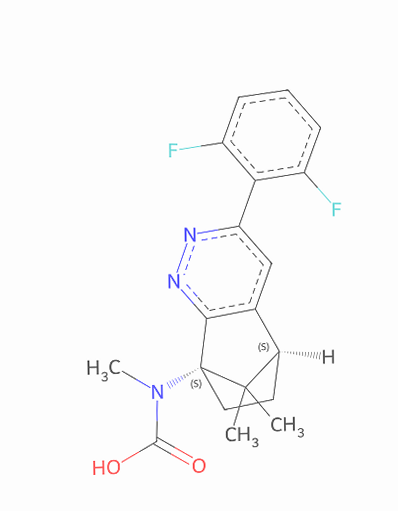 CN(C(=O)O)[C@]12CC[C@H](c3cc(-c4c(F)cccc4F)nnc31)C2(C)C